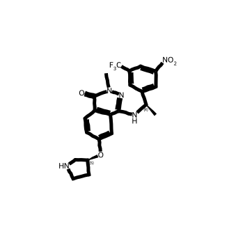 C[C@@H](Nc1nn(C)c(=O)c2ccc(O[C@H]3CCNC3)cc12)c1cc([N+](=O)[O-])cc(C(F)(F)F)c1